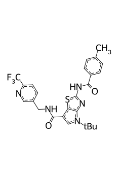 Cc1ccc(C(=O)Nc2nc3c(s2)c(C(=O)NCc2ccc(C(F)(F)F)nc2)cn3C(C)(C)C)cc1